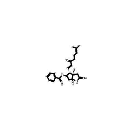 CC(C)=CCCC(=O)C=C[C@@H]1[C@H]2CC(=O)O[C@H]2C[C@H]1OC(=O)c1ccccc1